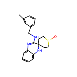 Cc1cccc(CNC2=Nc3ccccc3NC23CC[S+]([O-])CC3)c1